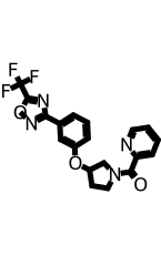 O=C(c1ccccn1)N1CCC(Oc2cccc(-c3noc(C(F)(F)F)n3)c2)C1